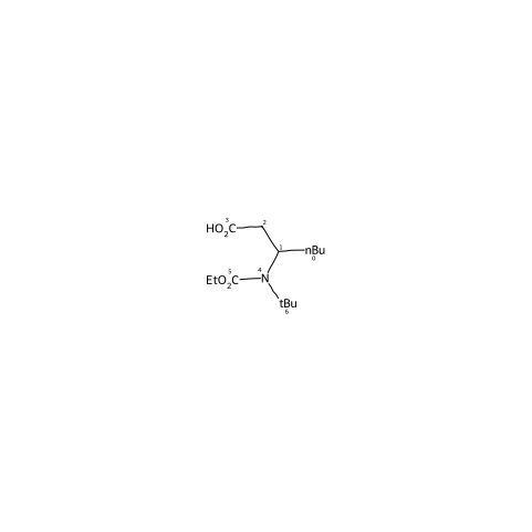 CCCCC(CC(=O)O)N(C(=O)OCC)C(C)(C)C